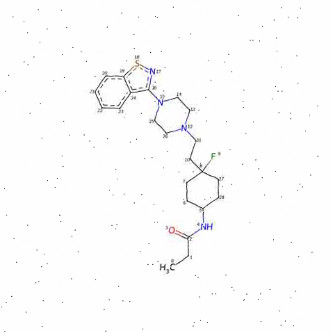 CCC(=O)NC1CCC(F)(CCN2CCN(c3nsc4ccccc34)CC2)CC1